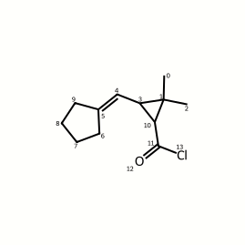 CC1(C)C(C=C2CCCC2)C1C(=O)Cl